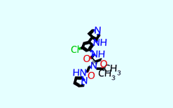 CC1(C)CN(CC(=O)Nc2ccccn2)[C@@H](C(=O)Nc2cc(Cl)cc3c2[nH]c2cnccc23)CO1